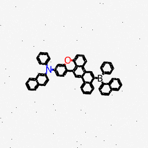 c1ccc(B(c2cccc3ccccc23)c2cc3c4cccc5c4c(cc3c3ccccc23)-c2ccc(N(c3ccccc3)c3ccc4ccccc4c3)cc2O5)cc1